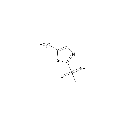 CS(=N)(=O)c1ncc(C(=O)O)s1